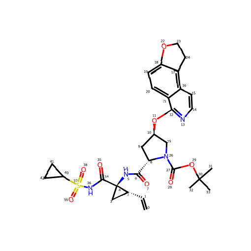 C=C[C@@H]1C[C@]1(NC(=O)[C@@H]1C[C@@H](Oc2nccc3c4c(ccc23)OCC4)CN1C(=O)OC(C)(C)C)C(=O)NS(=O)(=O)C1CC1